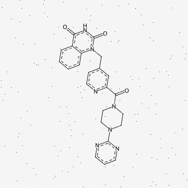 O=C(c1cc(Cn2c(=O)[nH]c(=O)c3ccccc32)ccn1)N1CCN(c2ncccn2)CC1